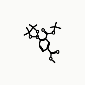 COC(=O)c1ccc(B2OC(C)(C)C(C)(C)O2)c(C(=O)OC(C)(C)C)c1